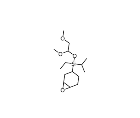 CC[Si](OC(COC)OC)(C(C)C)C1CCC2OC2C1